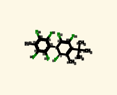 BC(C)(C)C1=C(C)[C@H](F)[C@H](c2c(F)c(F)c(CC)c(F)c2F)C(F)=C1F